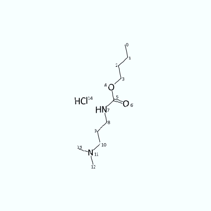 CCCCOC(=O)NCCCN(C)C.Cl